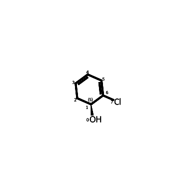 O[C@H]1CC=CC=C1Cl